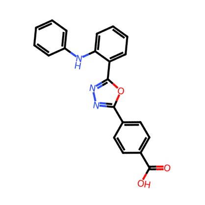 O=C(O)c1ccc(-c2nnc(-c3ccccc3Nc3ccccc3)o2)cc1